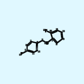 Fc1ccc(COc2ccccc2F)cc1